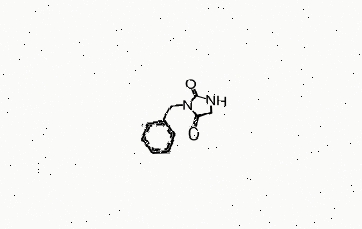 O=C1CNC(=O)N1Cc1[c]cccc1